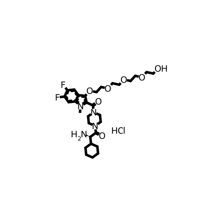 Cl.Cn1c(C(=O)N2CCN(C(=O)[C@@H](N)C3CCCCC3)CC2)c(OCCOCCOCCOCCO)c2cc(F)c(F)cc21